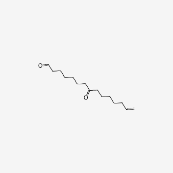 C=CCCCCCC(=O)CCCCCCC=O